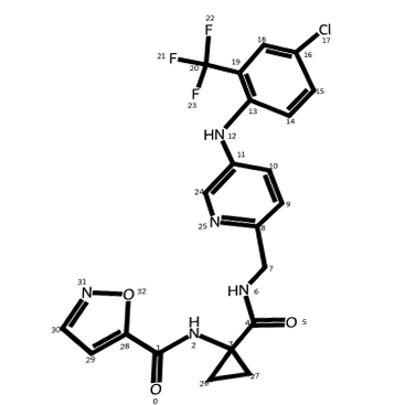 O=C(NC1(C(=O)NCc2ccc(Nc3ccc(Cl)cc3C(F)(F)F)cn2)CC1)c1ccno1